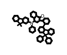 CC1(C)c2ccccc2-c2ccc(N(c3ccccc3)c3cc4c(oc5cccc(-c6cccc7c6-c6ccccc6C7(c6ccccc6)c6ccccc6)c54)c4ccccc34)cc21